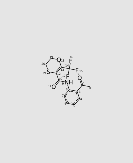 CC(=O)c1ccccc1NC(=O)C1=C(C(F)(F)F)OCCS1